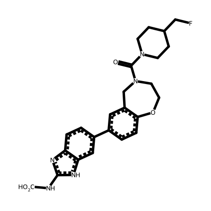 O=C(O)Nc1nc2ccc(-c3ccc4c(c3)CN(C(=O)N3CCC(CF)CC3)CCO4)cc2[nH]1